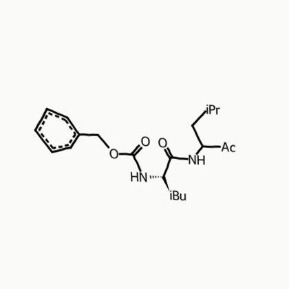 CC[C@H](C)[C@H](NC(=O)OCc1ccccc1)C(=O)NC(CC(C)C)C(C)=O